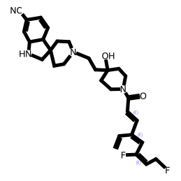 C=CC(/C=C/C(=O)N1CCC(O)(CCN2CCC3(CC2)CNC2C=C(C#N)C=CC23)CC1)=C\C(F)=C/CF